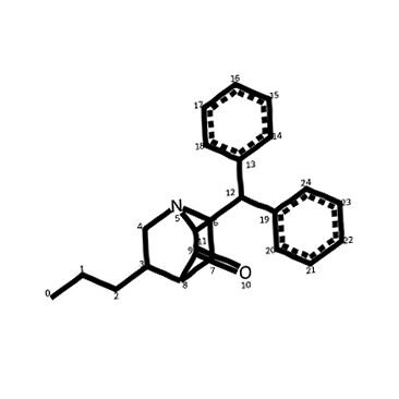 CCCC1CN2CCC1C(=O)C2C(c1ccccc1)c1ccccc1